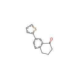 O=C1CCCc2ccc(-c3cccs3)cc21